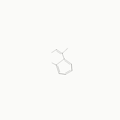 Br/C=C(/Br)c1ccccc1Br